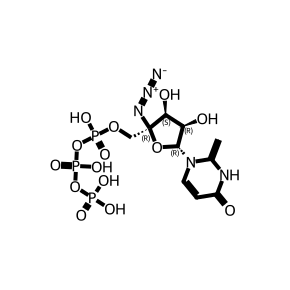 C=C1NC(=O)C=CN1[C@@H]1O[C@@](COP(=O)(O)OP(=O)(O)OP(=O)(O)O)(N=[N+]=[N-])[C@@H](O)[C@H]1O